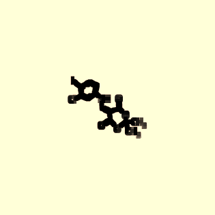 CC1(C)OC(=O)C(=CNc2ccc(I)c(Cl)c2)C(=O)O1